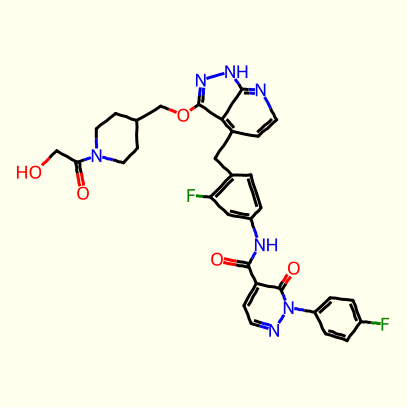 O=C(Nc1ccc(Cc2ccnc3[nH]nc(OCC4CCN(C(=O)CO)CC4)c23)c(F)c1)c1ccnn(-c2ccc(F)cc2)c1=O